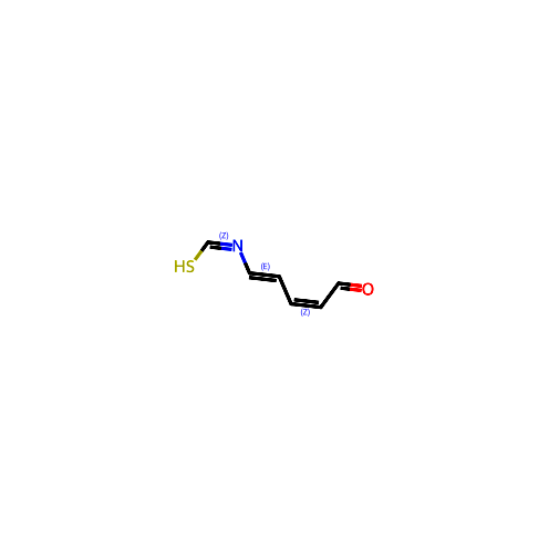 O=C\C=C/C=C/N=C\S